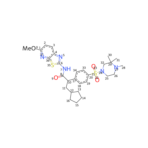 COc1ccc2nc(NC(=O)C(CC3CCCC3)c3ccc(S(=O)(=O)N4CCN(C)C(C)(C)C4)cc3)sc2n1